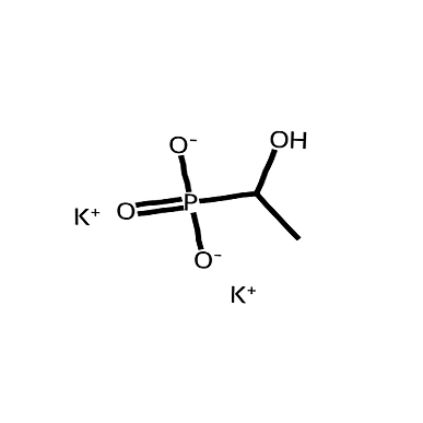 CC(O)P(=O)([O-])[O-].[K+].[K+]